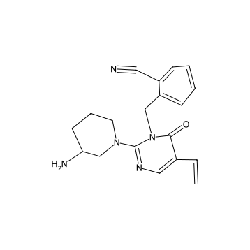 C=Cc1cnc(N2CCCC(N)C2)n(Cc2ccccc2C#N)c1=O